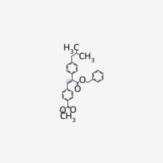 COC(=O)c1ccc(/C=C(\C(=O)OCc2ccccc2)c2ccc(CC(C)C)cc2)cc1